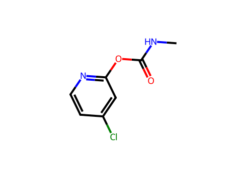 CNC(=O)Oc1cc(Cl)ccn1